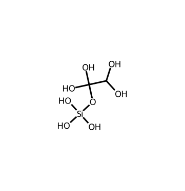 OC(O)C(O)(O)O[Si](O)(O)O